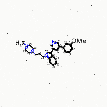 COc1cccc(-c2cncc(-c3cn(CCCN4CCN(C)CC4)c4ccccc34)c2)c1